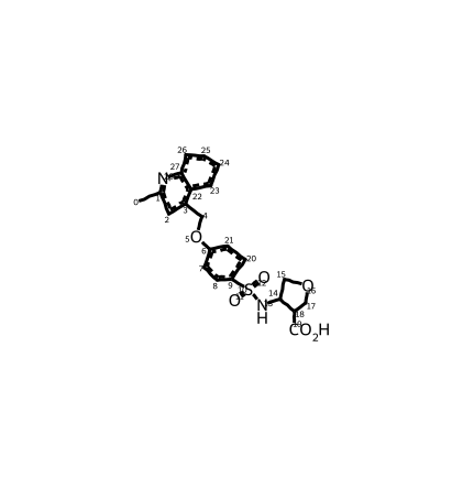 Cc1cc(COc2ccc(S(=O)(=O)NC3COCC3C(=O)O)cc2)c2ccccc2n1